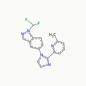 Cc1cccc(-c2nccn2-c2ccc3c(cnn3C(F)F)c2)n1